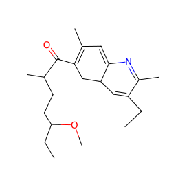 CCC1=CC2CC(C(=O)C(C)CCC(CC)OC)=C(C)C=C2N=C1C